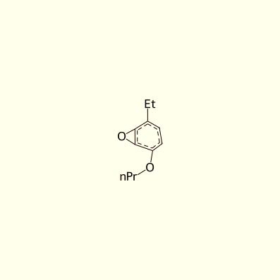 CCCOc1ccc(CC)c2c1O2